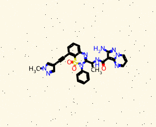 CC(NC(=O)c1c(N)nn2cccnc12)C1=Nc2cccc(C#Cc3cnn(C)c3)c2S(=O)(=O)N1c1ccccc1